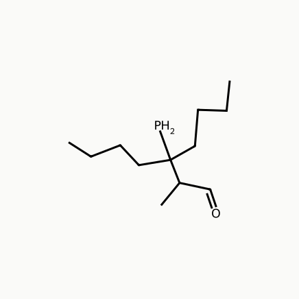 CCCCC(P)(CCCC)C(C)C=O